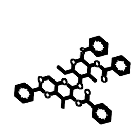 CCC1OC(Sc2ccccc2)C(OC(=O)c2ccccc2)C(C)C1OC1OC2COC(c3ccccc3)OC2C(C)C1OC(=O)c1ccccc1